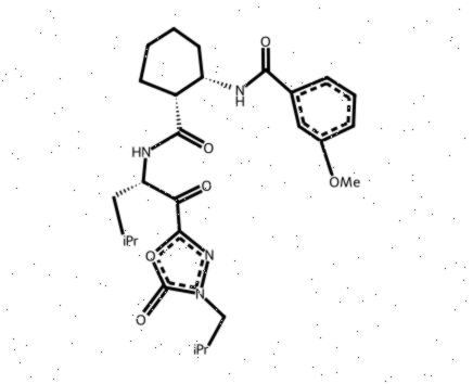 COc1cccc(C(=O)N[C@H]2CCCC[C@H]2C(=O)N[C@@H](CC(C)C)C(=O)c2nn(CC(C)C)c(=O)o2)c1